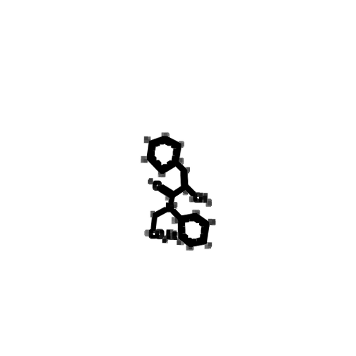 CCOC(=O)CN(C(=O)C(C)=Cc1ccccc1)c1ccccc1